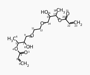 C=CC(=O)OC(C)C(O)COCCOCC(O)C(C)OC(=O)C=C